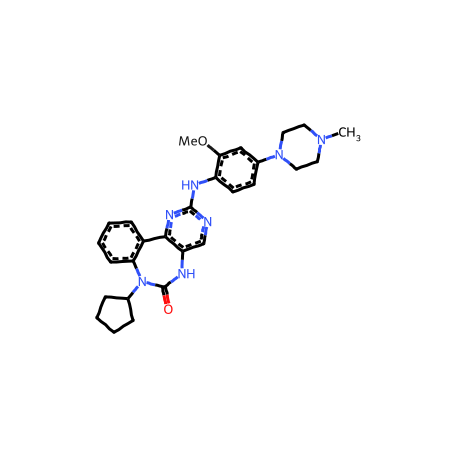 COc1cc(N2CCN(C)CC2)ccc1Nc1ncc2c(n1)-c1ccccc1N(C1CCCC1)C(=O)N2